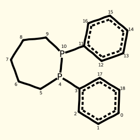 c1ccc(P2CCCCCP2c2ccccc2)cc1